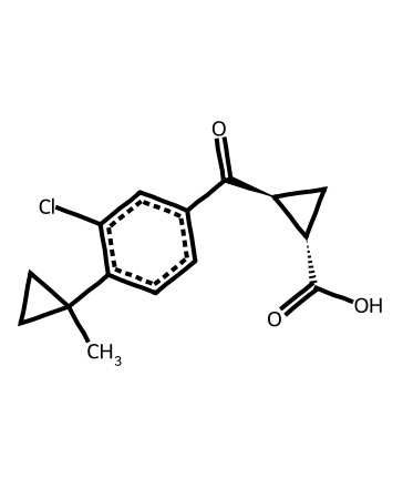 CC1(c2ccc(C(=O)[C@H]3C[C@@H]3C(=O)O)cc2Cl)CC1